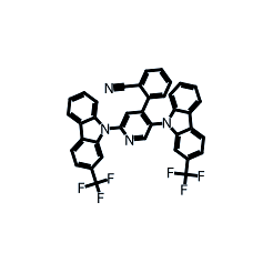 N#Cc1ccccc1-c1cc(-n2c3ccccc3c3ccc(C(F)(F)F)cc32)ncc1-n1c2ccccc2c2ccc(C(F)(F)F)cc21